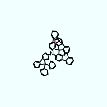 CC1(C)c2ccccc2-c2ccc(N(c3ccc4c(c3)C(c3ccccc3)(c3ccccc3)c3ccccc3-4)c3ccc4c(oc5ccccc54)c3C3(C)c4ccccc4-c4ccccc43)cc21